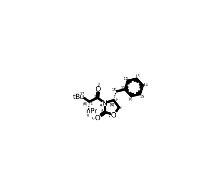 CCC[C@@H](C(=O)N1C(=O)OC[C@H]1Cc1ccccc1)C(C)(C)C